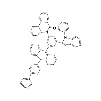 O=c1c2ccccc2c2ccccc2n1-c1cc(-c2c3ccccc3c(-c3ccc(-c4ccccc4)cc3)c3ccccc23)cc(-c2nc3ccccc3n2-c2ccccc2)c1